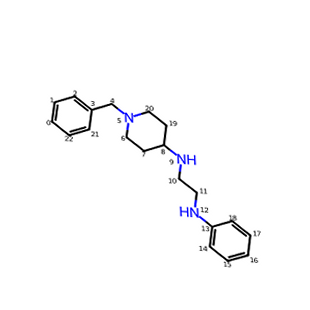 c1ccc(CN2CCC(NCCNc3ccccc3)CC2)cc1